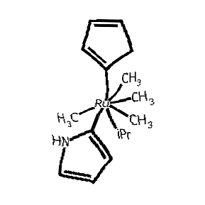 C[CH](C)[Ru]([CH3])([CH3])([CH3])([CH3])([C]1=CC=CC1)[c]1ccc[nH]1